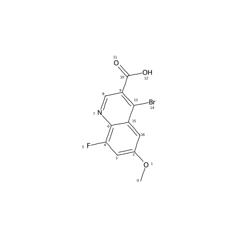 COc1cc(F)c2ncc(C(=O)O)c(Br)c2c1